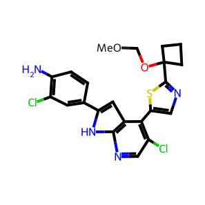 COCOC1(c2ncc(-c3c(Cl)cnc4[nH]c(-c5ccc(N)c(Cl)c5)cc34)s2)CCC1